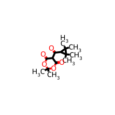 CC1(C)OC(=O)C(C(=O)C2C(C)(C)C2(C)C)C(=O)O1